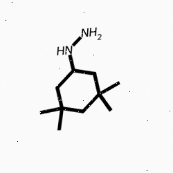 CC1(C)CC(NN)CC(C)(C)C1